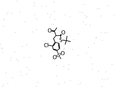 CC(=O)C(Cc1ccc(S(C)(=O)=O)cc1Cl)C(=O)SC(C)(C)C